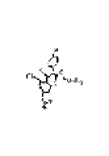 CCOC(=O)C(C(=O)c1ccc(CS(=O)O)cc1Cl)c1ccc(Br)cc1